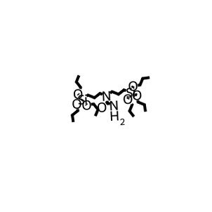 CCCO[Si](CCCN(CCC[Si](OCCC)(OCCC)OCCC)C(N)=O)(OCCC)OCCC